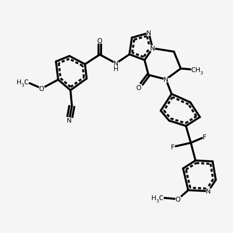 COc1cc(C(F)(F)c2ccc(N3C(=O)c4c(NC(=O)c5ccc(OC)c(C#N)c5)cnn4CC3C)cc2)ccn1